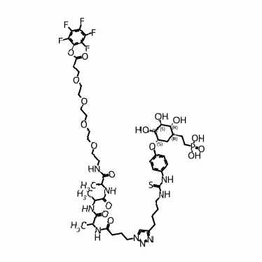 CC(NC(=O)CCCn1cc(CCCCNC(=S)Nc2ccc(O[C@H]3C[C@H](CCP(=O)(O)O)[C@@H](O)[C@H](O)[C@@H]3O)cc2)nn1)C(=O)NC(C)C(=O)NC(C)C(=O)NCCOCCOCCOCCOCCC(=O)Oc1c(F)c(F)c(F)c(F)c1F